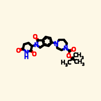 CC(C)(C)OC(=O)N1CCCN(c2ccc3c(c2)CN(C2CCC(=O)NC2=O)C3=O)CC1